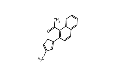 CC(=O)c1c(C2=CC(C)=CC2)ccc2ccccc12